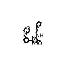 c1cc(CN2CCOCC2)cc(-c2nc3c(c(NCCCN4CCCC4)n2)COC3)c1